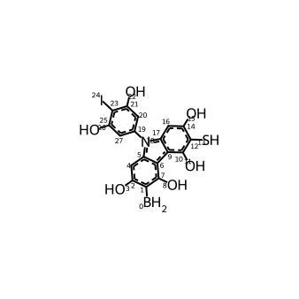 Bc1c(O)cc2c(c1O)c1c(O)c(S)c(O)cc1n2-c1cc(O)c(I)c(O)c1